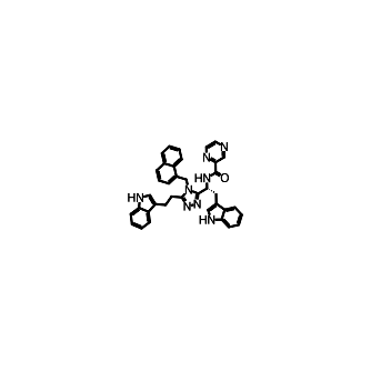 O=C(N[C@H](Cc1c[nH]c2ccccc12)c1nnc(CCc2c[nH]c3ccccc23)n1Cc1cccc2ccccc12)c1cnccn1